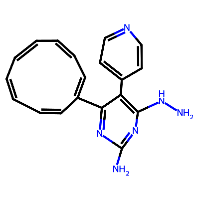 NNc1nc(N)nc(-c2ccccccccc2)c1-c1ccncc1